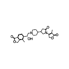 CC1=C(N2CC(C3CCN(C[C@H](O)c4ccc5c(c4C)COC5=O)CC3)CC2=O)COC1=O